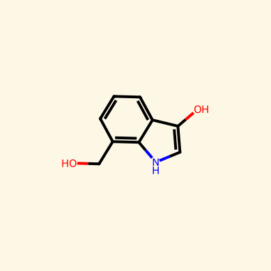 OCc1cccc2c(O)c[nH]c12